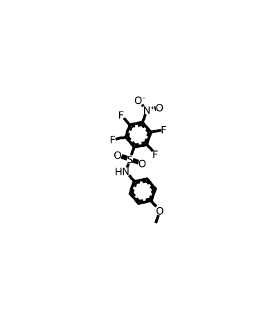 COc1ccc(NS(=O)(=O)c2c(F)c(F)c([N+](=O)[O-])c(F)c2F)cc1